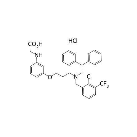 Cl.O=C(O)CNc1cccc(OCCCN(Cc2cccc(C(F)(F)F)c2Cl)CC(c2ccccc2)c2ccccc2)c1